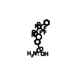 C[C@](N)(CCc1ccc2c(c1)CCc1c-2noc1-c1noc(-c2ccccc2)c1C(F)(F)F)C(=O)O